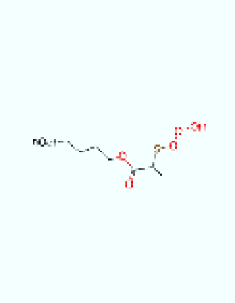 CCCCCCCCCCCCOC(=O)C(C)SOOO